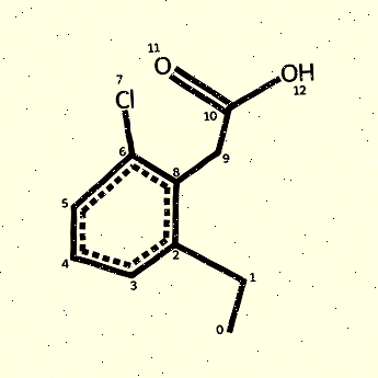 CCc1cccc(Cl)c1CC(=O)O